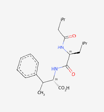 CC(C)CC(=O)N[C@@H](CC(C)C)C(=O)N[C@H](C(=O)O)C(C)c1ccccc1